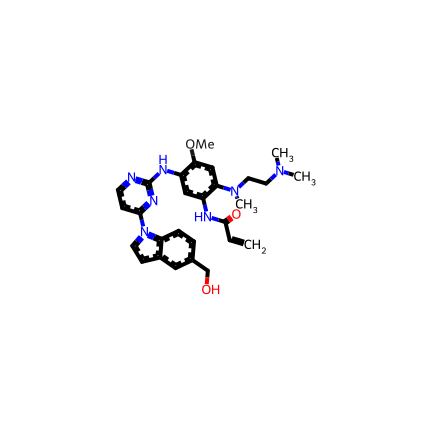 C=CC(=O)Nc1cc(Nc2nccc(-n3ccc4cc(CO)ccc43)n2)c(OC)cc1N(C)CCN(C)C